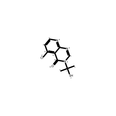 CC(C)(S)n1cnc2nccc(Cl)c2c1=O